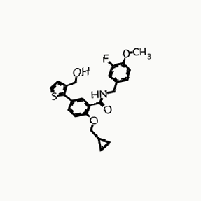 COc1ccc(CNC(=O)c2cc(-c3sccc3CO)ccc2OCC2CC2)cc1F